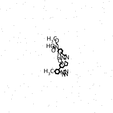 COCCN(C(=O)O)c1ccc(-c2cnc([C@@H]3CCc4cc(-c5cc(C)ccc5-n5cnnn5)cc(=O)n43)[nH]2)nc1